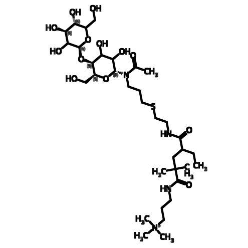 CCC(CC(C)(C)C(=O)NCCC[N+](C)(C)C)C(=O)NCCSCCCN(C(C)=O)[C@@H]1O[C@@H](CO)[C@@H](O[C@@H]2OC(CO)[C@@H](O)[C@H](O)C2O)C(O)C1O